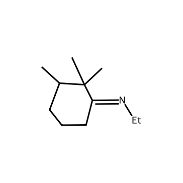 CCN=C1CCCC(C)C1(C)C